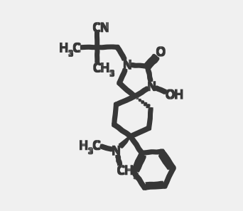 CN(C)[C@]1(c2ccccc2)CC[C@]2(CC1)CN(CC(C)(C)C#N)C(=O)N2O